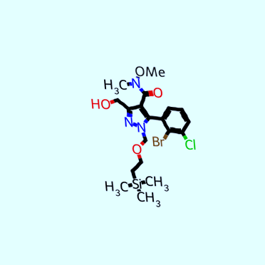 CON(C)C(=O)c1c(CO)nn(COCC[Si](C)(C)C)c1-c1cccc(Cl)c1Br